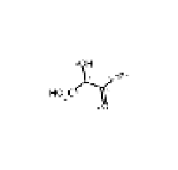 CCCC(=O)C(O)C(=O)O